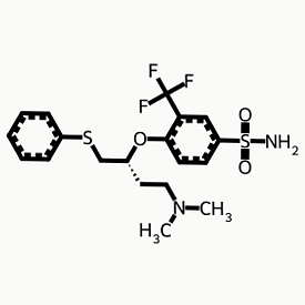 CN(C)CC[C@H](CSc1ccccc1)Oc1ccc(S(N)(=O)=O)cc1C(F)(F)F